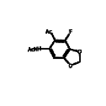 CC(=O)Nc1cc2c(c(F)c1C(C)=O)OCO2